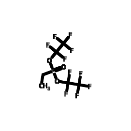 CCP(=O)(OC(F)(F)C(F)(F)F)OC(F)(F)C(F)(F)F